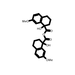 COc1ccc2c(c1)C(O)(C(=O)OC(=O)C1(O)CCCc3ccc(OC)cc31)CCC2